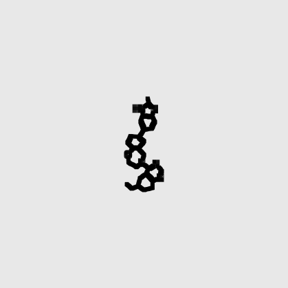 CCC1CCc2ncnc(N3CCOc4ccc(-c5ccc6nc(C)[nH]c6c5)cc4C3)c2C1